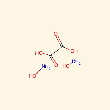 NO.NO.O=C(O)C(=O)O